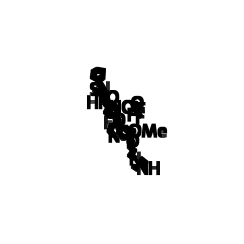 COc1cc2c(Oc3ccc(NC(=O)c4csc(-c5ccccc5)n4)cc3F)ccnc2cc1OCCCN1CCNCC1.O=C(O)C(F)(F)F